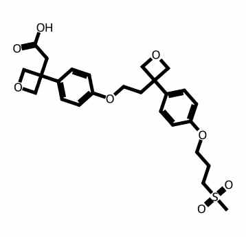 CS(=O)(=O)CCCOc1ccc(C2(CCOc3ccc(C4(CC(=O)O)COC4)cc3)COC2)cc1